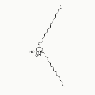 CCCCCCCCCCCCCCCCOC(CSCCCCCCCCCCCCCCCC)CP(=O)(O)O